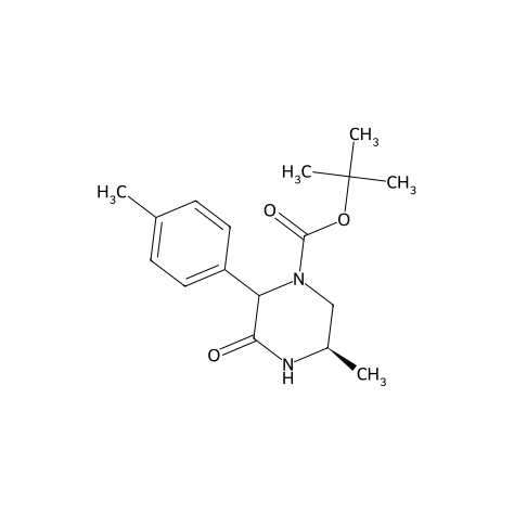 Cc1ccc(C2C(=O)N[C@H](C)CN2C(=O)OC(C)(C)C)cc1